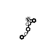 O=C(CC1c2ccccc2-c2nncn21)C1CCC(COCc2ccccc2)CC1